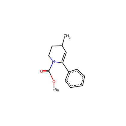 CC1C=C(c2ccccc2)N(C(=O)OC(C)(C)C)CC1